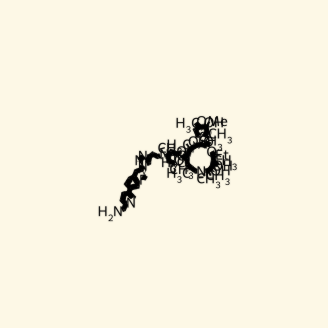 CC[C@H]1OC(=O)[C@H](C)[C@@H](O[C@H]2C[C@@](C)(OC)[C@@H](O)[C@H](C)O2)[C@H](C)[C@@H](O[C@H]2C[C@@H](N(C)CCc3cn([C@H](CF)Cc4ccc(-c5ccc(CN)nc5)cc4)nn3)C[C@@H](C)O2)[C@](C)(O)C[C@@H](C)CN(C)[C@H](C)[C@@H](O)[C@]1(C)O